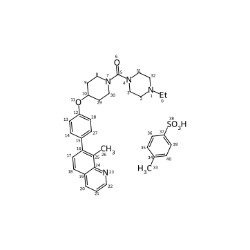 CCN1CCN(C(=O)N2CCC(Oc3ccc(-c4ccc5cccnc5c4C)cc3)CC2)CC1.Cc1ccc(S(=O)(=O)O)cc1